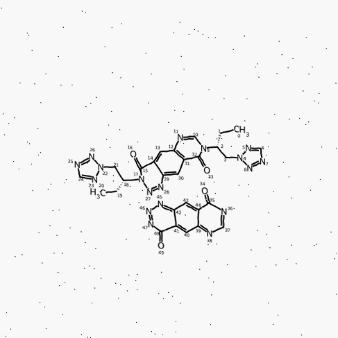 CC[C@H](Cn1ncnn1)n1cnc2cc3c(=O)n([C@H](CC)Cn4ncnn4)nnc3cc2c1=O.O=C1N=CN=c2cc3c(cc21)=NN=NC3=O